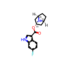 CN1[C@@H]2CC[C@H]1C[C@H](OC(=O)c1c[nH]c3cc(F)ccc13)C2